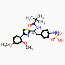 COc1ccc(-c2csc([C@H](Cc3ccc(NS(=O)(=O)O)cc3)NC(=O)C(C)(C)C)n2)c(OC)c1